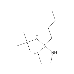 CCCC[Si](NC)(NC)NC(C)(C)C